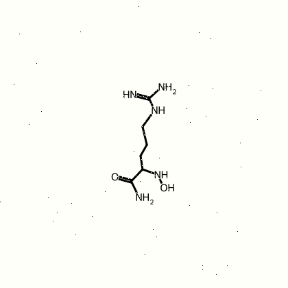 N=C(N)NCCCC(NO)C(N)=O